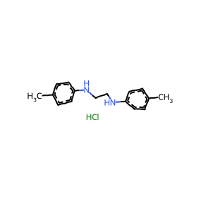 Cc1ccc(NCCNc2ccc(C)cc2)cc1.Cl